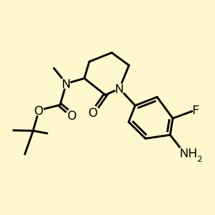 CN(C(=O)OC(C)(C)C)C1CCCN(c2ccc(N)c(F)c2)C1=O